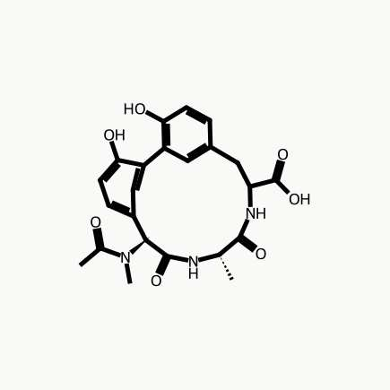 CC(=O)N(C)[C@@H]1C(=O)N[C@@H](C)C(=O)NC(C(=O)O)Cc2ccc(O)c(c2)-c2cc1ccc2O